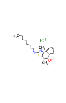 CCCCCCCCN=c1sc2c(C)c(O)c3ccccc3c2n1C.Cl